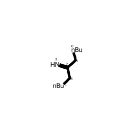 CCCCCC(=N)CCCCC